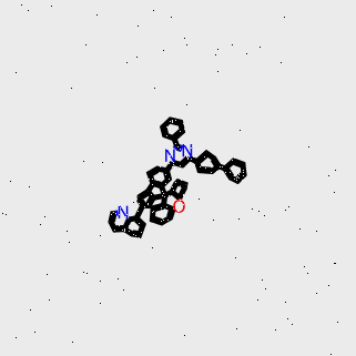 C1=CC2Oc3ccccc3C3(c4cc(-c5cc(-c6ccc(-c7ccccc7)cc6)nc(-c6ccccc6)n5)ccc4-c4ccc(-c5cccc6cccnc56)cc43)C2C=C1